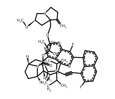 C=C1CCN2C[C@H](OC)CC12COc1nc2c3c(nc(-c4cccc5ccc(F)c(C#C[Si](C(C)C)(C(C)C)C(C)C)c45)c(F)c3n1)O[C@@H](C)[C@@H]1[C@@H]3CC[C@H](CN21)N3C(=O)OC(C)(C)C